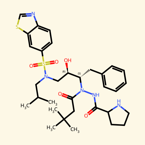 CC(C)CN(C[C@@H](O)[C@H](Cc1ccccc1)N(NC(=O)C1CCCN1)C(=O)CC(C)(C)C)S(=O)(=O)c1ccc2ncsc2c1